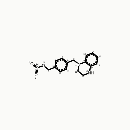 O=[SH](=O)OCc1ccc(CN2CCNc3ccccc32)cc1